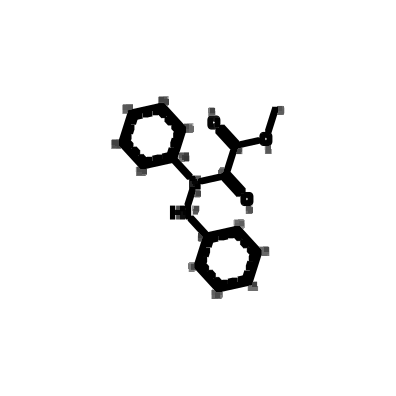 COC(=O)C(=O)N(Nc1ccccc1)c1ccccc1